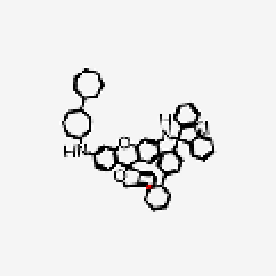 Clc1ccccc1C(Nc1ccc2c(c1)Oc1cc(NC3CCCC(C4CCCCCC4)CC3)ccc1C21OCc2ccccc21)(c1ccccc1)c1ccc(C2CCCCC2)cc1